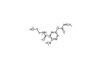 C=CC(=O)Oc1cnc(N)c(C(=O)NCCO)c1